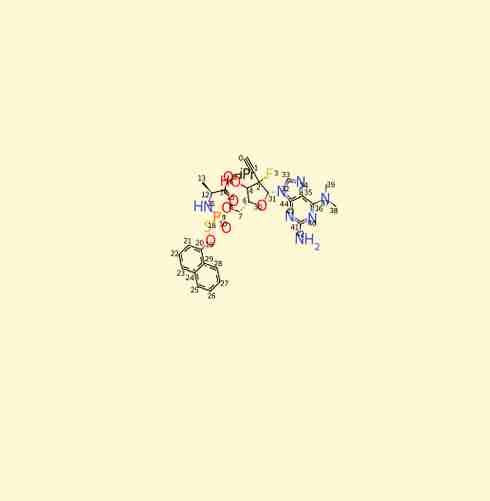 C#C[C@@]1(F)[C@H](O)[C@@H](COP(=O)(N[C@@H](C)C(=O)OC(C)C)SOc2cccc3ccccc23)O[C@H]1n1cnc2c(N(C)C)nc(N)nc21